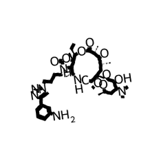 CC[C@H]1OC(=O)[C@H](C)C(=O)[C@H](C)[C@@H](O[C@@H]2O[C@H](C)CC(N(C)C)C2O)[C@](C)(OC)CCN[C@H](C)[C@H]2N(CCCCn3cc(-c4cccc(N)c4)nn3)C(=O)O[C@]12C